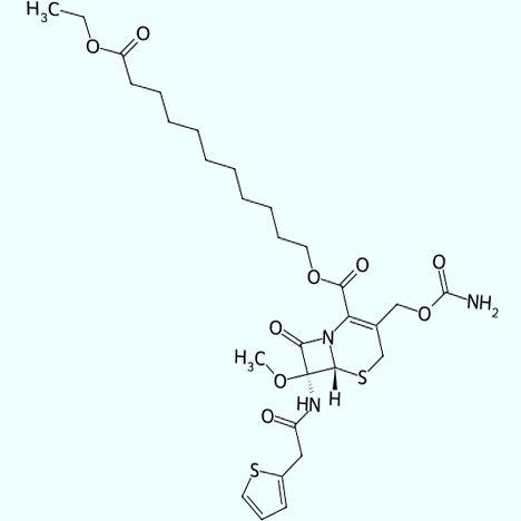 CCOC(=O)CCCCCCCCCCOC(=O)C1=C(COC(N)=O)CS[C@H]2N1C(=O)[C@]2(NC(=O)Cc1cccs1)OC